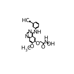 C#Cc1cccc(Nc2ncnc3cc(OC)c(OCC(=O)NO)cc23)c1